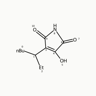 CCCCC(CC)C1=C(O)C(=O)NC1=O